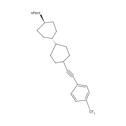 CCCCC[C@H]1CC[C@H](C2CCC(C#Cc3ccc(C(F)(F)F)cc3)CC2)CC1